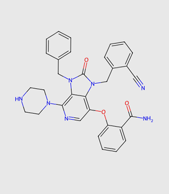 N#Cc1ccccc1Cn1c(=O)n(Cc2ccccc2)c2c(N3CCNCC3)ncc(Oc3ccccc3C(N)=O)c21